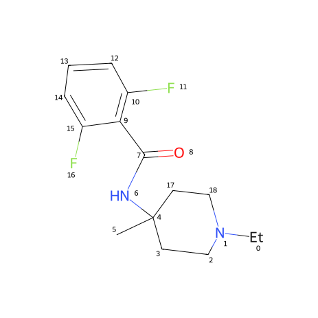 CCN1CCC(C)(NC(=O)c2c(F)cccc2F)CC1